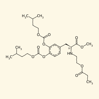 CCC(=O)OCCN[C@@H](Cc1ccc(OC(=O)OCCC(C)C)c(OC(=O)OCCC(C)C)c1)C(=O)OC